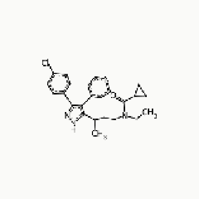 CCN(CCC(C)c1[nH]nc(-c2ccc(Cl)cc2)c1-c1ccncc1)C(=O)C1CC1